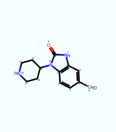 O=Cc1ccc2c(c1)[nH]c(=O)n2C1CCNCC1